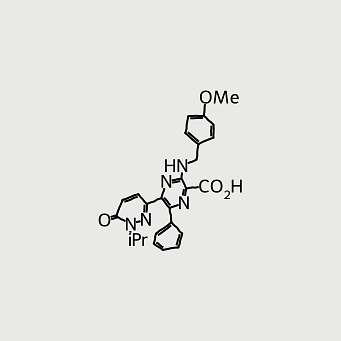 COc1ccc(CNc2nc(-c3ccc(=O)n(C(C)C)n3)c(-c3ccccc3)nc2C(=O)O)cc1